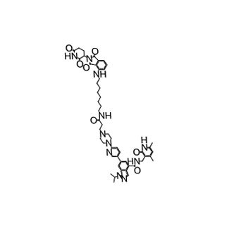 Cc1cc(C)c(CNC(=O)c2cc(-c3ccc(N4CCN(CCC(=O)NCCCCCCCCNc5cccc6c5C(=O)N(C5CCC(=O)NC5=O)C6=O)CC4)nc3)cc3c2cnn3C(C)C)c(=O)[nH]1